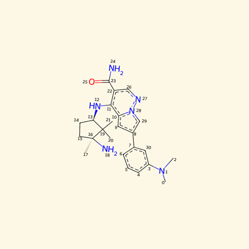 CN(C)c1cccc(-c2cc3c(N[C@@H]4CC[C@](C)(N)C4(C)C)c(C(N)=O)cnn3c2)c1